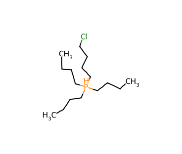 CCCC[PH](CCCC)(CCCC)CCCCCl